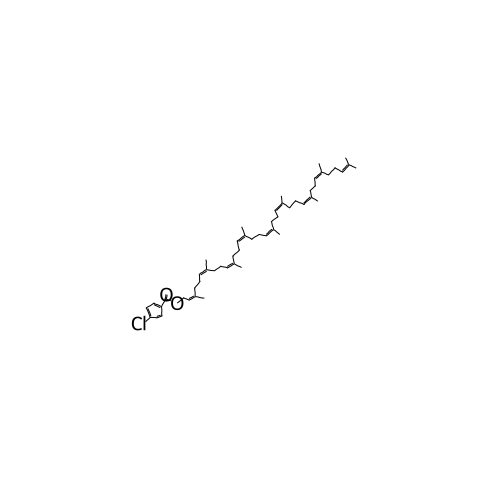 CC(C)=CCCC(C)=CCCC(C)=CCCC(C)=CCCC(C)=CCCC(C)=CCCC(C)=CCCC(C)=CCCC(C)=CCOC(=O)c1ccc(Cl)cc1